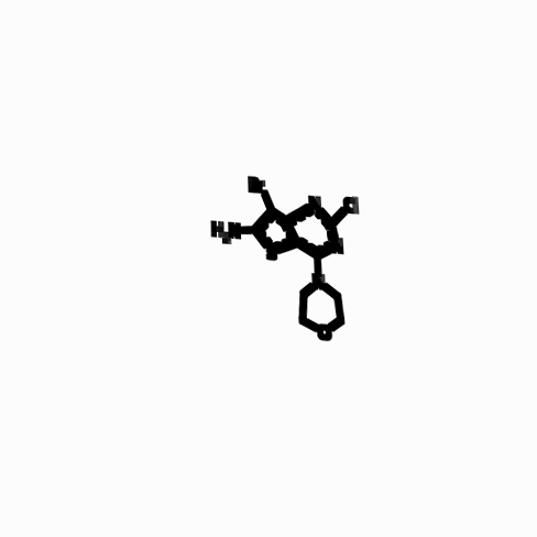 Nc1sc2c(N3CCOCC3)nc(Cl)nc2c1Br